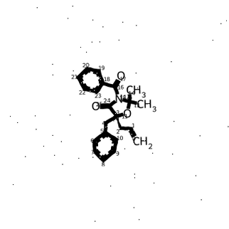 C=CC[C@]1(Cc2ccccc2)OC(C)(C)N(C(=O)c2ccccc2)C1=O